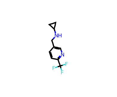 FC(F)(F)c1ccc(CNC2CC2)cn1